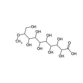 COC(CO)C(O)C(O)C(O)C(O)C(O)C(O)C(O)C(=O)O